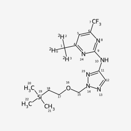 [2H]C([2H])([2H])c1cc(C(F)(F)F)nc(Nc2cnn(COCC[Si](C)(C)C)n2)n1